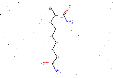 CCC(CCCCCCC(N)=O)C(N)=O